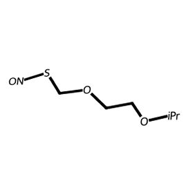 CC(C)OCCOCSN=O